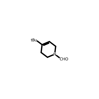 CC(C)(C)C1=CCN(C=O)CC1